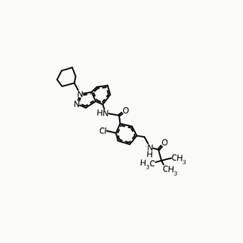 CC(C)(C)C(=O)NCc1ccc(Cl)c(C(=O)Nc2cccc3c2cnn3C2CCCCC2)c1